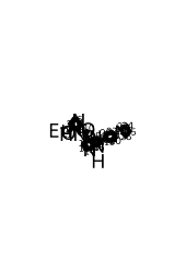 CCOc1ccncc1NC(=O)c1ccnc2[nH]c(-c3ccc(N4CCCC4)cc3)nc12